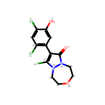 O=c1c(-c2cc(O)c(Cl)cc2Cl)c(F)n2n1CCOCC2